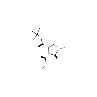 COC(=O)[C@H]1C(=O)N(C)C[C@@H]1C(=O)OC(C)(C)C